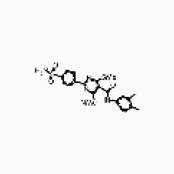 CNc1nc(-c2ccc(S(N)(=O)=O)cc2)nc(SC)c1C(=O)Nc1ccc(C)c(C)c1